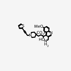 COc1ccc2ncc(CN)c(C(O)CCC3(C(=O)O)CCN(CC#Cc4cccs4)CC3)c2c1